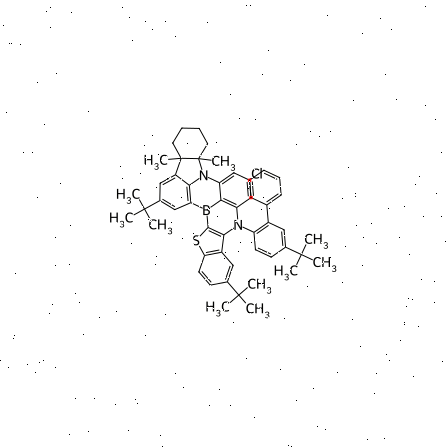 CC(C)(C)c1ccc(N2c3cc(Cl)cc4c3B(c3cc(C(C)(C)C)cc5c3N4C3(C)CCCCC53C)c3sc4ccc(C(C)(C)C)cc4c32)c(-c2ccccc2)c1